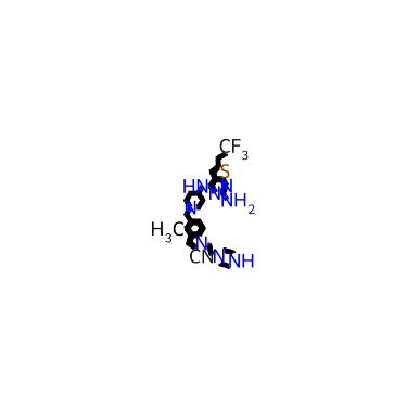 Cc1c(CN2CCC(Nc3nc(N)nc4sc(CCC(F)(F)F)cc34)CC2)ccc2c1cc(C#N)n2CCN1CCNCC1